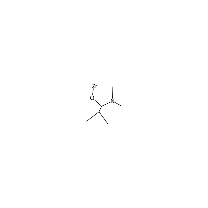 CC(C)C([O][Zr])N(C)C